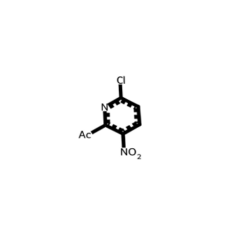 CC(=O)c1nc(Cl)ccc1[N+](=O)[O-]